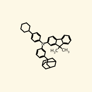 CC1(C)c2ccccc2-c2ccc(N(c3ccc(C4CCCCC4)cc3)c3cccc(C45CC6CC(CC(C6)C4)C5)c3)cc21